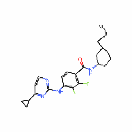 N#CCCC1CCC[C@@H](NC(=O)c2ccc(Nc3nccc(C4CC4)n3)c(F)c2F)C1